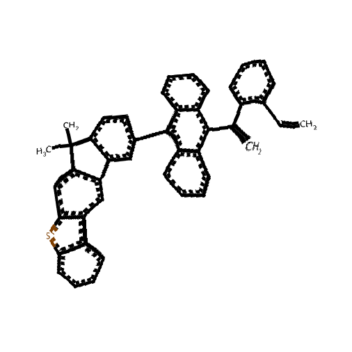 C=Cc1ccccc1C(=C)c1c2ccccc2c(-c2ccc3c(c2)-c2cc4c(cc2C3(C)C)sc2ccccc24)c2ccccc12